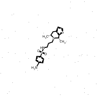 C[C@@H]1Cc2ccsc2[C@H](C)N1CCCNS(=O)(=O)c1ccc(N)cc1